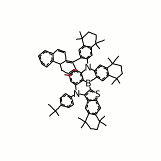 Cc1cc2c3c(c1)N(c1ccc(C(C)(C)C)cc1)c1c(sc4cc5c(cc14)C(C)(C)CCC5(C)C)B3c1cc3c(cc1N2c1cc2c(cc1C1=C4C=Cc5ccccc5C4CC=C1)C(C)(C)CCC2(C)C)C(C)(C)CCC3(C)C